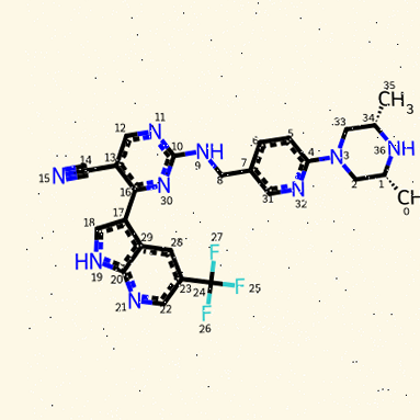 C[C@@H]1CN(c2ccc(CNc3ncc(C#N)c(-c4c[nH]c5ncc(C(F)(F)F)cc45)n3)cn2)C[C@H](C)N1